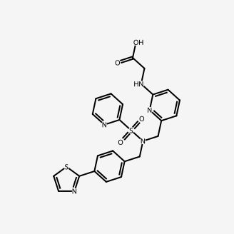 O=C(O)CNc1cccc(CN(Cc2ccc(-c3nccs3)cc2)S(=O)(=O)c2ccccn2)n1